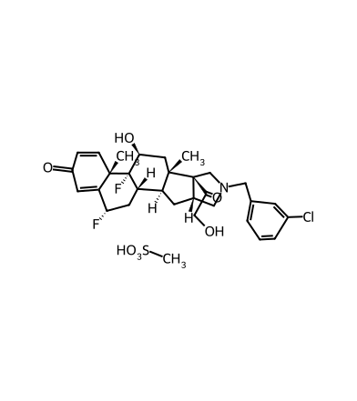 CS(=O)(=O)O.C[C@]12C=CC(=O)C=C1[C@@H](F)C[C@H]1[C@@H]3C[C@H]4CN(Cc5cccc(Cl)c5)C[C@@]4(C(=O)CO)[C@@]3(C)C[C@H](O)[C@@]12F